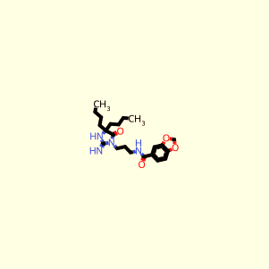 CCCCC1(CCCC)NC(=N)N(CCCNC(=O)c2ccc3c(c2)OCO3)C1=O